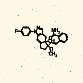 CO[C@@]1(CCc2ccccc2C(N)=O)CCC2=Cc3c(cnn3-c3ccc(F)cc3)C[C@@]21C